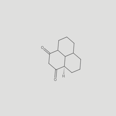 O=C1CC(=O)[C@@H]2CCCC3CCCC1C32